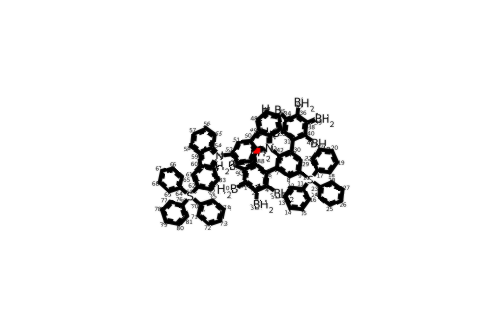 Bc1c(B)c(B)c(-c2cc(S(c3ccccc3)(c3ccccc3)c3ccccc3)cc(-c3c(B)c(B)c(B)c(B)c3B)c2-n2c3ccccc3c3cc(-n4c5ccccc5c5cc(S(c6ccccc6)(c6ccccc6)c6ccccc6)ccc54)ccc32)c(B)c1B